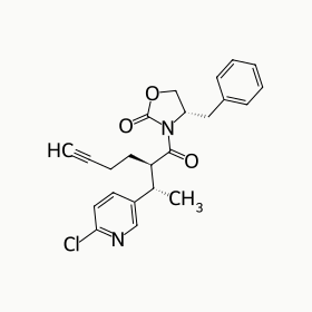 C#CCC[C@@H](C(=O)N1C(=O)OC[C@@H]1Cc1ccccc1)[C@H](C)c1ccc(Cl)nc1